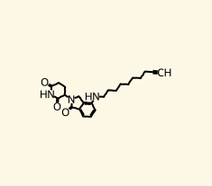 C#CCCCCCCCCNc1cccc2c1CN(C1CCC(=O)NC1=O)C2=O